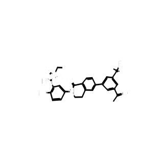 CCS(=O)(=O)Nc1cc(N2CCc3cc(-c4cc(C(C)=O)cc(C(F)(F)F)c4)ccc3C2=O)ccc1O